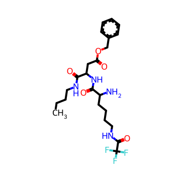 CCCCNC(=O)C(CC(=O)OCc1ccccc1)NC(=O)C(N)CCCCNC(=O)C(F)(F)F